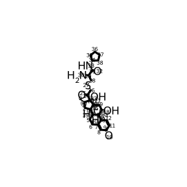 C[C@@H]1C[C@H]2[C@@H]3CCC4=CC(=O)C=C[C@]4(C)[C@@]3(F)[C@@H](O)C[C@]2(C)[C@@]1(O)C(=O)CSCC(N)C(=O)NC1CCCC1